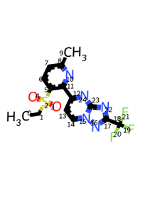 CCS(=O)(=O)c1ccc(C)nc1-c1ccn2nc(C(F)(F)F)nc2n1